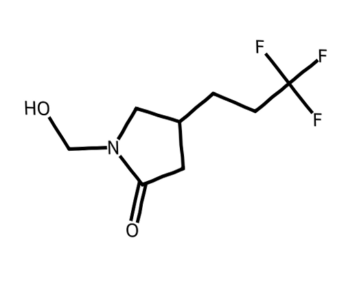 O=C1CC(CCC(F)(F)F)CN1CO